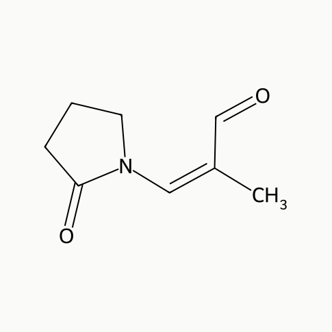 CC(C=O)=CN1CCCC1=O